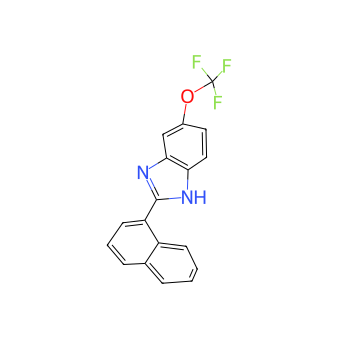 FC(F)(F)Oc1ccc2[nH]c(-c3cccc4ccccc34)nc2c1